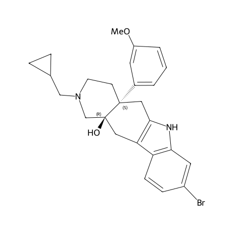 COc1cccc([C@@]23CCN(CC4CC4)C[C@@]2(O)Cc2c([nH]c4cc(Br)ccc24)C3)c1